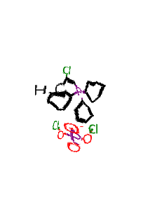 CC(Cl)=C[P+](c1ccccc1)(c1ccccc1)c1ccccc1.O=P([O-])(OCl)OCl